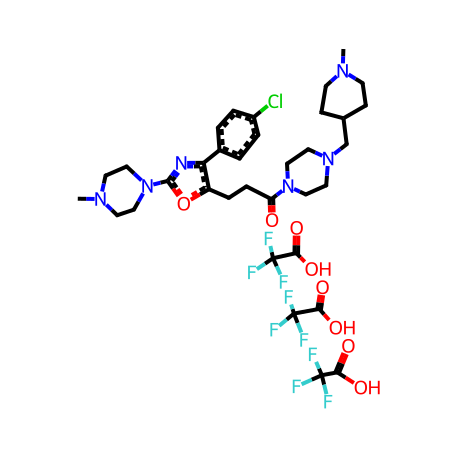 CN1CCC(CN2CCN(C(=O)CCc3oc(N4CCN(C)CC4)nc3-c3ccc(Cl)cc3)CC2)CC1.O=C(O)C(F)(F)F.O=C(O)C(F)(F)F.O=C(O)C(F)(F)F